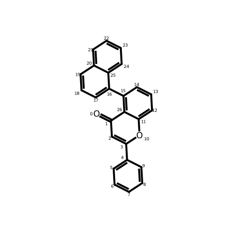 O=c1cc(-c2ccccc2)oc2cccc(-c3cccc4ccccc34)c12